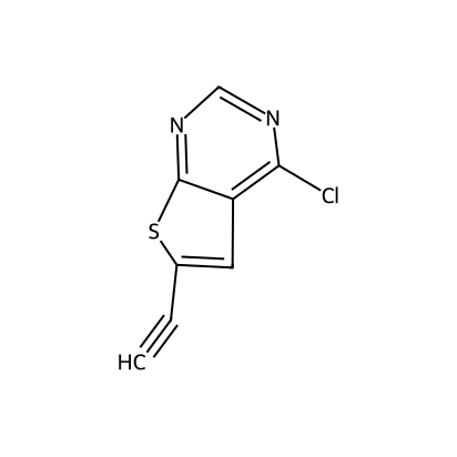 C#Cc1cc2c(Cl)ncnc2s1